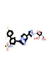 CS(=O)(=O)Nc1cc(-c2ccc(F)cc2F)cc(-c2cnc3cc(-c4cnn([C@@H]5OC[C@H](CO)[C@H]5O)c4)ccn23)c1